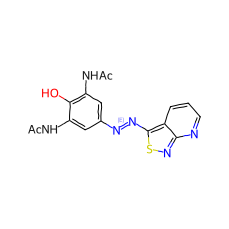 CC(=O)Nc1cc(/N=N/c2snc3ncccc23)cc(NC(C)=O)c1O